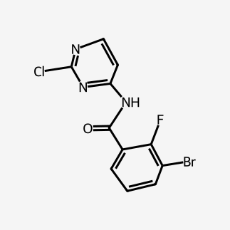 O=C(Nc1ccnc(Cl)n1)c1cccc(Br)c1F